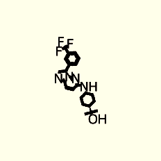 CC(C)(O)[C@H]1CC[C@H](NC2=NN3C(=NCC3c3cccc(C(F)(F)F)c3)C=C2)CC1